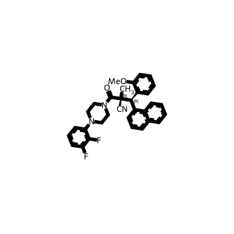 COc1ccccc1[C@@H](c1cccc2ccccc12)[C@](C)(C#N)C(=O)N1CCN(c2cccc(F)c2F)CC1